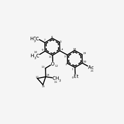 CCc1cc(-c2ccc(C)c(C)c2OCC2(C)CC2)ccc1C(C)=O